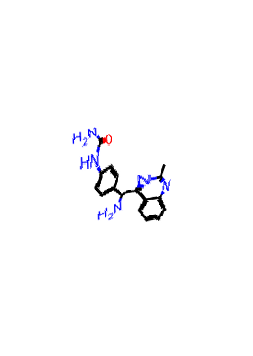 Cc1nc(C(N)c2ccc(NC(N)=O)cc2)c2ccccc2n1